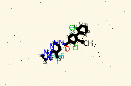 C#Cc1c(Cl)c(C(=O)Nc2cnc(-n3nccn3)c(C(F)(F)F)c2)cc(F)c1-c1ccccc1Cl